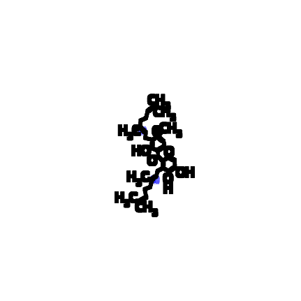 COc1cc2oc3cc(O)c(O)c(C/C=C(\C)CCC=C(C)C)c3c(=O)c2c(O)c1C/C=C(\C)CCC=C(C)C